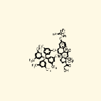 CCC[NH+](CCC)CCC.C[C@]12C=CC(=O)C=C1CC[C@@H]1[C@@H]2C(=O)C[C@@]2(C)[C@H]1CC[C@]2(O)C(=O)CO.FC(F)(F)c1cc([B-](c2cc(C(F)(F)F)cc(C(F)(F)F)c2)(c2cc(C(F)(F)F)cc(C(F)(F)F)c2)c2cc(C(F)(F)F)cc(C(F)(F)F)c2)cc(C(F)(F)F)c1